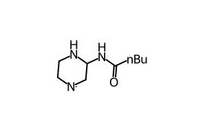 CCCCC(=O)NC1C[N]CCN1